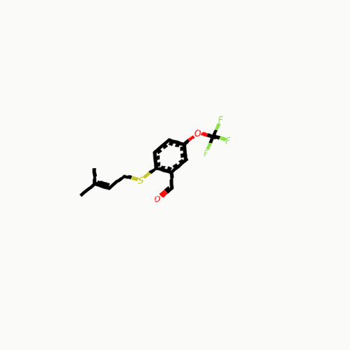 CC(C)=CCSc1ccc(OC(F)(F)F)cc1C=O